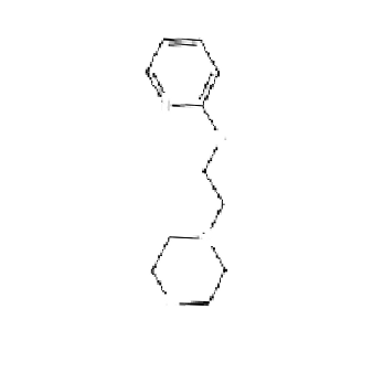 c1ccc(OCCN2CCOCC2)nc1